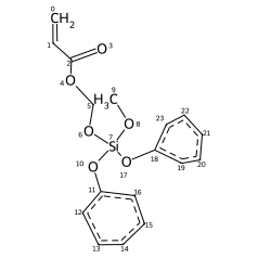 C=CC(=O)OCO[Si](OC)(Oc1ccccc1)Oc1ccccc1